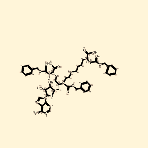 Nc1ncnc2c1ncn2[C@@H]1O[C@H](C[C@H](CC[C@H](NC(=O)OCc2ccccc2)C(=O)O)N(CCNCCCC[C@H](NC(=O)OCc2ccccc2)C(=O)O)C(=O)OCc2ccccc2)C(O)[C@@H]1O